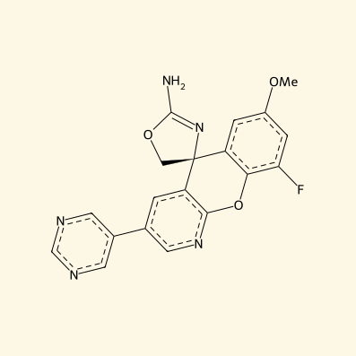 COc1cc(F)c2c(c1)[C@]1(COC(N)=N1)c1cc(-c3cncnc3)cnc1O2